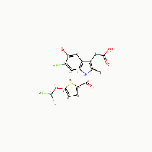 Cc1c(CC(=O)O)c2cc(O)c(F)cc2n1C(=O)c1ccc(OC(F)F)s1